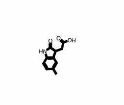 Cc1ccc2c(c1)C(CC(=O)O)C(=O)N2